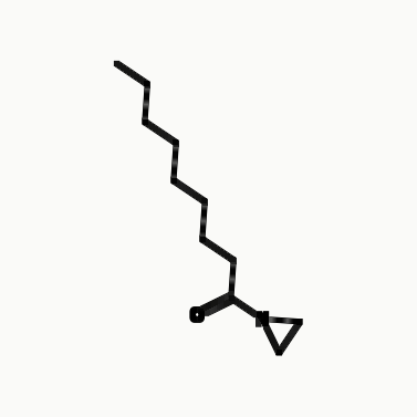 CCCCCCCCC(=O)N1CC1